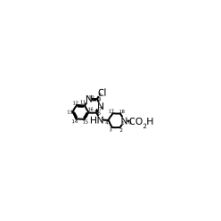 O=C(O)N1CCC(Nc2nc(Cl)nc3ccccc23)CC1